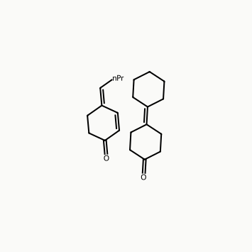 CCCC=C1C=CC(=O)CC1.O=C1CCC(=C2CCCCC2)CC1